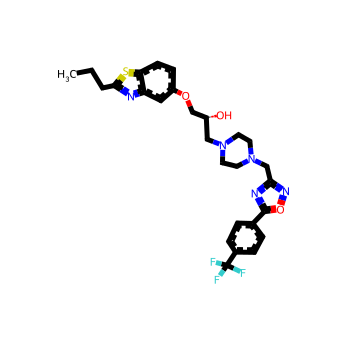 CCCc1nc2cc(OC[C@H](O)CN3CCN(Cc4noc(-c5ccc(C(F)(F)F)cc5)n4)CC3)ccc2s1